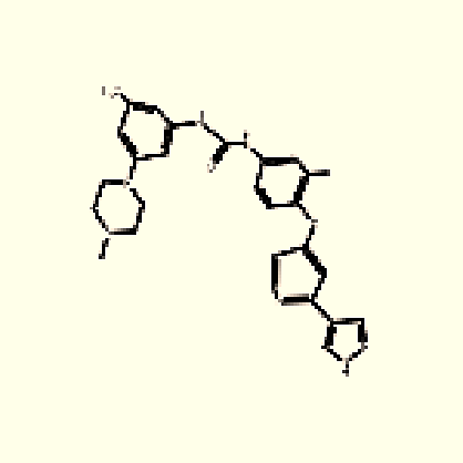 CN1CCN(c2cc(NC(=O)Nc3ccc(Oc4ccnc(-c5cn[nH]c5)c4)c(F)c3)cc(C(F)(F)F)c2)CC1